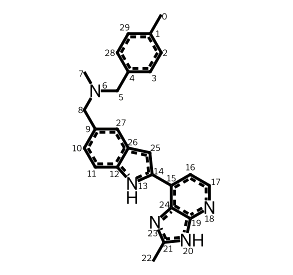 Cc1ccc(CN(C)Cc2ccc3[nH]c(-c4ccnc5[nH]c(C)nc45)cc3c2)cc1